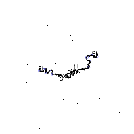 CC/C=C\C/C=C\C/C=C\C/C=C\C/C=C\CCCCCC(=O)Nc1ccn(C2CC[C@@H](COC(=O)CCCCC/C=C\C/C=C\C/C=C\C/C=C\C/C=C\CC)O2)c(=O)n1